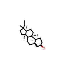 CCC1(C)CC[C@H]2C3CCC4=CC(=O)CC[C@]4(C)[C@H]3CC[C@@]21C